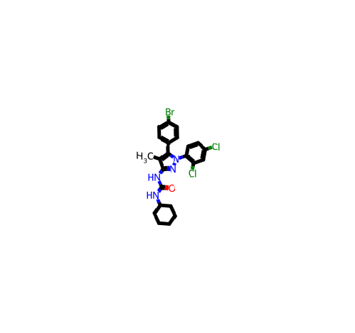 Cc1c(NC(=O)NC2CCCCC2)nn(-c2ccc(Cl)cc2Cl)c1-c1ccc(Br)cc1